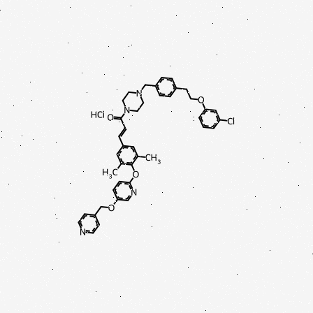 Cc1cc(/C=C/C(=O)N2CCN(Cc3ccc(CCOc4cccc(Cl)c4)cc3)CC2)cc(C)c1Oc1ccc(OCc2ccncc2)cn1.Cl